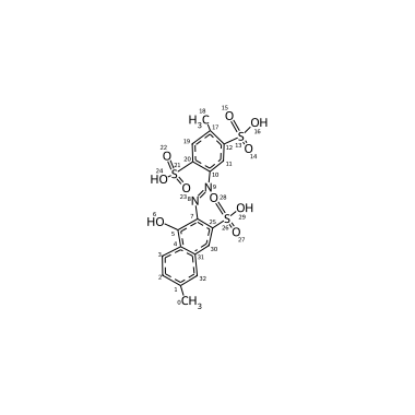 Cc1ccc2c(O)c(N=Nc3cc(S(=O)(=O)O)c(C)cc3S(=O)(=O)O)c(S(=O)(=O)O)cc2c1